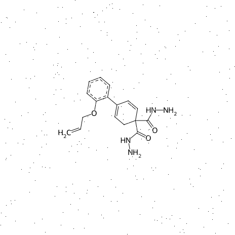 C=CCOc1ccccc1C1=CCC(C(=O)NN)(C(=O)NN)C=C1